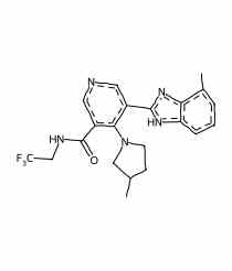 Cc1cccc2[nH]c(-c3cncc(C(=O)NCC(F)(F)F)c3N3CCC(C)C3)nc12